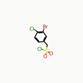 O=S(=O)(Cl)Cc1ccc(Cl)c(Br)c1